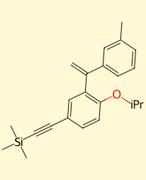 C=C(c1cccc(C)c1)c1cc(C#C[Si](C)(C)C)ccc1OC(C)C